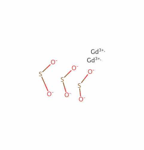 [Gd+3].[Gd+3].[O-]S[O-].[O-]S[O-].[O-]S[O-]